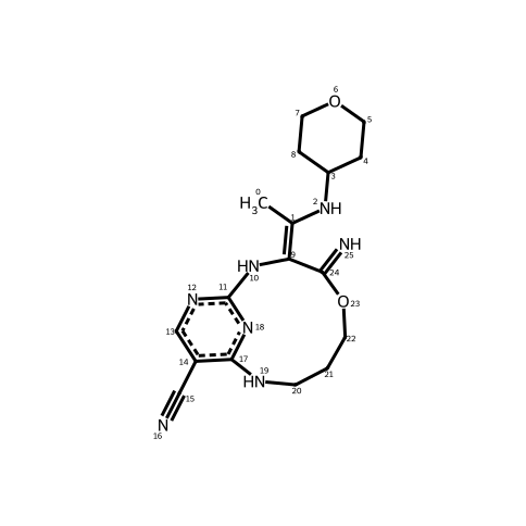 C/C(NC1CCOCC1)=C1\Nc2ncc(C#N)c(n2)NCCCOC1=N